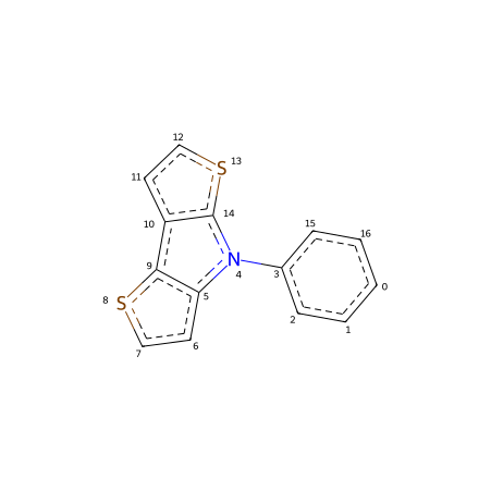 c1ccc(-n2c3ccsc3c3ccsc32)cc1